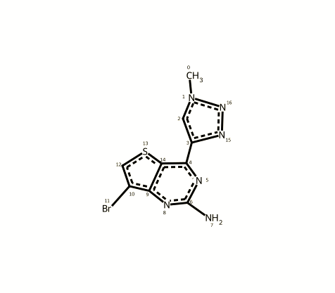 Cn1cc(-c2nc(N)nc3c(Br)csc23)nn1